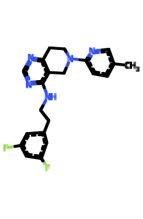 Cc1ccc(N2CCc3ncnc(NCCc4cc(F)cc(F)c4)c3C2)nc1